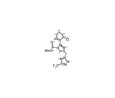 COC(=O)c1cc(Cn2nnc(C(F)(F)F)n2)nn1-c1ncccc1Cl